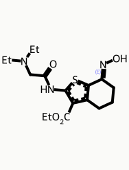 CCOC(=O)c1c(NC(=O)CN(CC)CC)sc2c1CCC/C2=N\O